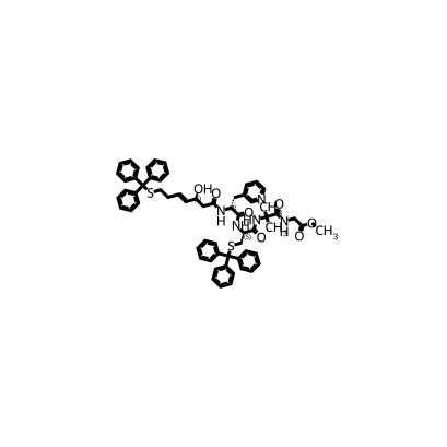 COC(=O)CNC(=O)C(C)(C)NC(=O)[C@@H](CSC(c1ccccc1)(c1ccccc1)c1ccccc1)NC(=O)[C@@H](Cc1cccnc1)NC(=O)C[C@H](O)C=CCCSC(c1ccccc1)(c1ccccc1)c1ccccc1